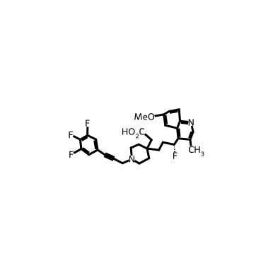 COc1ccc2ncc(C)c([C@H](F)CCC3(CC(=O)O)CCN(CC#Cc4cc(F)c(F)c(F)c4)CC3)c2c1